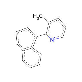 Cc1cccnc1-c1cccc2ccccc12